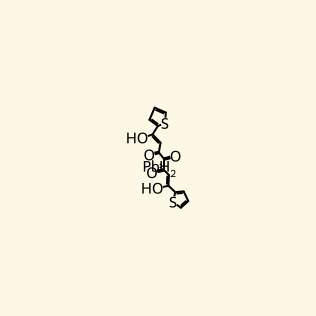 O=C(C=C(O)c1cccs1)C(=O)C(=O)C=C(O)c1cccs1.[PbH2]